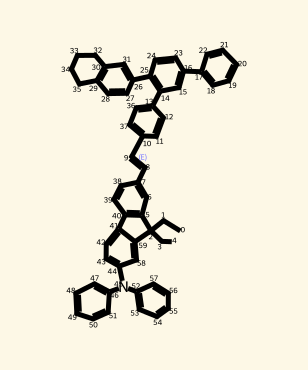 CCC1(CC)c2cc(/C=C/c3ccc(-c4cc(-c5ccccc5)ccc4-c4ccc5c(c4)CCCC5)cc3)ccc2-c2ccc(N(c3ccccc3)c3ccccc3)cc21